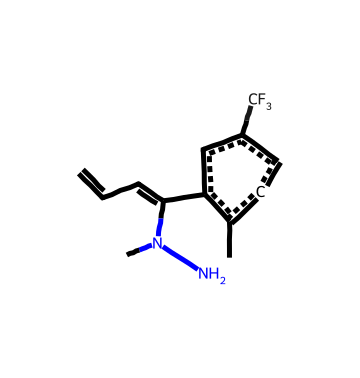 C=C/C=C(/c1cc(C(F)(F)F)ccc1C)N(C)N